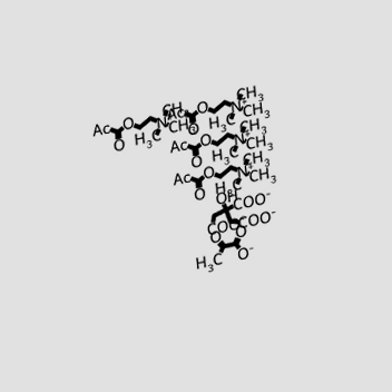 CC(=O)C(=O)OCC[N+](C)(C)C.CC(=O)C(=O)OCC[N+](C)(C)C.CC(=O)C(=O)OCC[N+](C)(C)C.CC(=O)C(=O)OCC[N+](C)(C)C.CC(=O)C(=O)[O-].O=C([O-])CC(O)(CC(=O)[O-])C(=O)[O-]